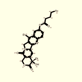 CCc1c2c(nc3ccc(OC(=O)CCCC(C)=O)cc13)-c1cc3c(c(=O)n1C2)COC(=O)[C@]3(O)CC